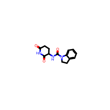 O=C1CCC(NC(=O)N2CCc3ccccc32)C(=O)N1